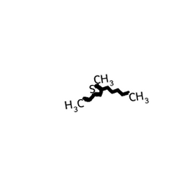 C/C=C/c1cc(CCCCCC)c(C)s1